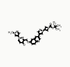 Cn1cc(-n2ccc(=O)c(COc3ccc4ncc(-c5cnn(C6CN(C(=O)OC(C)(C)C)C6)c5)cc4c3)n2)cn1